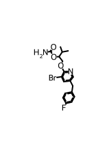 CC(C)C(COc1ncc(Cc2ccc(F)cc2)cc1Br)OC(N)=O